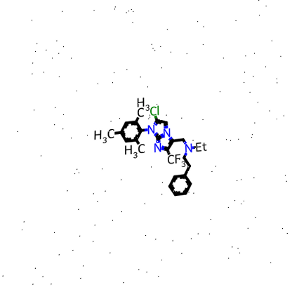 CCN(CCc1ccccc1)Cc1c(C(F)(F)F)nc2n(-c3c(C)cc(C)cc3C)c(Cl)cn12